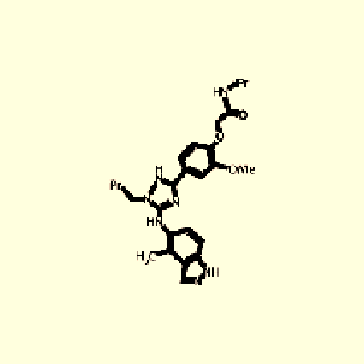 COc1cc(C2N=C(Nc3ccc4[nH]ncc4c3C)N(CC(C)C)N2)ccc1OCC(=O)NC(C)C